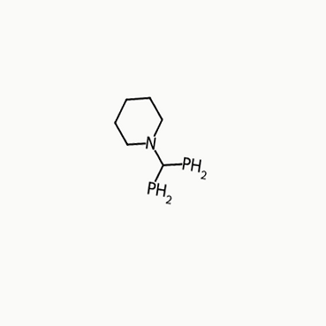 PC(P)N1CCCCC1